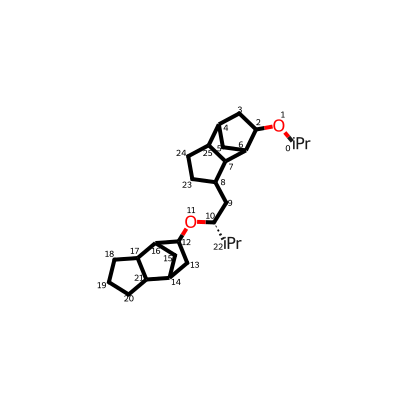 CC(C)OC1CC2CC1C1C(C[C@@H](OC3CC4CC3C3CCCC43)C(C)C)CCC21